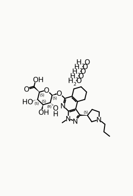 CCCN1CC[C@H](c2nn(C)c3nc(O[C@@H]4O[C@H](C(=O)O)[C@@H](O)[C@H](O)[C@H]4O)c4c(c23)CCCC4)C1.O.O.O.O.O